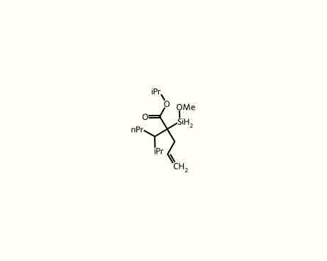 C=CCC([SiH2]OC)(C(=O)OC(C)C)C(CCC)C(C)C